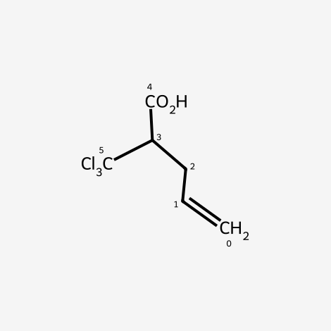 C=CCC(C(=O)O)C(Cl)(Cl)Cl